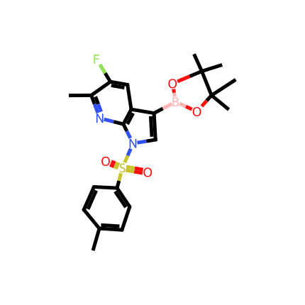 Cc1ccc(S(=O)(=O)n2cc(B3OC(C)(C)C(C)(C)O3)c3cc(F)c(C)nc32)cc1